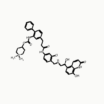 C[N+]1(C)CCC(OC(=O)Nc2cc(CCC(=O)Nc3ccc(CNC[C@@H](O)c4ccc(O)c5[nH]c(=O)ccc45)c(Cl)c3)ccc2-c2ccccc2)CC1